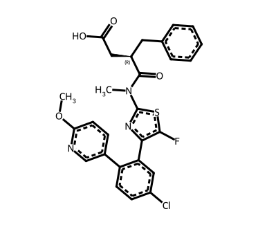 COc1ccc(-c2ccc(Cl)cc2-c2nc(N(C)C(=O)[C@@H](CC(=O)O)Cc3ccccc3)sc2F)cn1